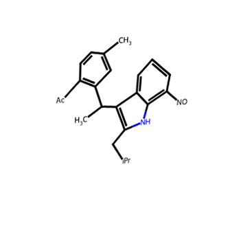 CC(=O)c1ccc(C)cc1C(C)c1c(CC(C)C)[nH]c2c(N=O)cccc12